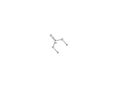 O=[PH]([O][Ir])[O][Ir]